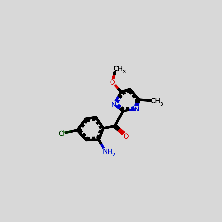 COc1cc(C)nc(C(=O)c2ccc(Cl)cc2N)n1